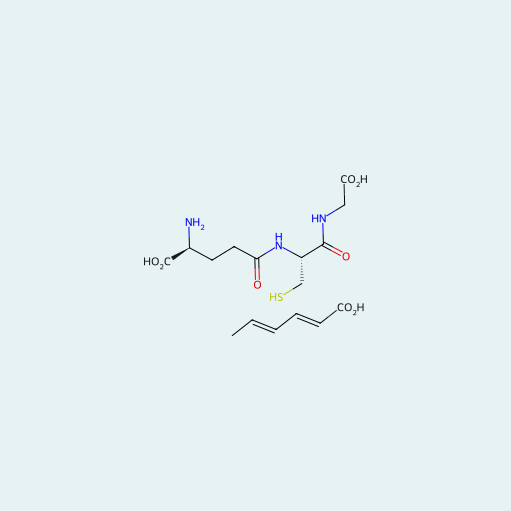 CC=CC=CC(=O)O.N[C@@H](CCC(=O)N[C@@H](CS)C(=O)NCC(=O)O)C(=O)O